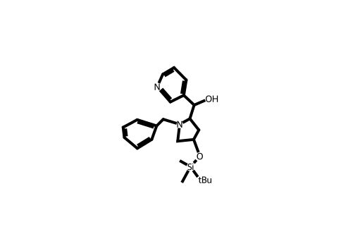 CC(C)(C)[Si](C)(C)OC1CC(C(O)c2cccnc2)N(Cc2ccccc2)C1